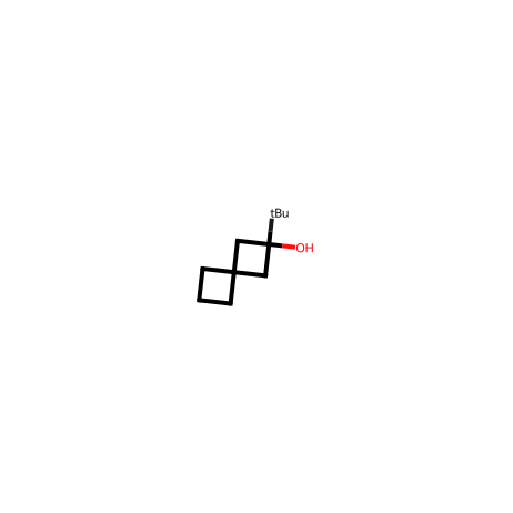 CC(C)(C)C1(O)CC2(CCC2)C1